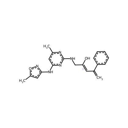 C=C(/C=C(\O)CNc1nc(C)cc(Nc2cc(C)on2)n1)c1ccccc1